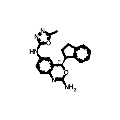 Cc1nnc(Nc2ccc3c(c2)[C@@H](C2CCc4ccccc42)OC(N)=N3)o1